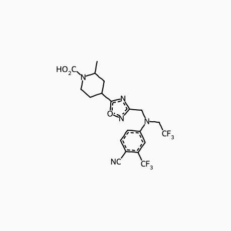 CC1CC(c2nc(CN(CC(F)(F)F)c3ccc(C#N)c(C(F)(F)F)c3)no2)CCN1C(=O)O